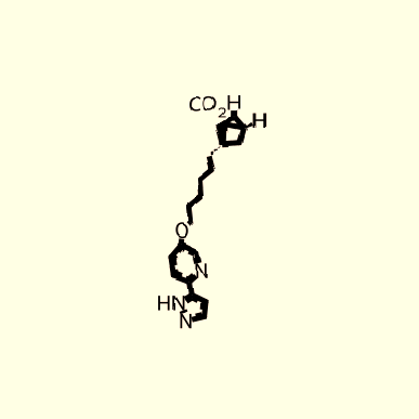 O=C(O)C1C[C@]2(CCCCCCOc3ccc(-c4ccn[nH]4)nc3)C[C@@H]1C2